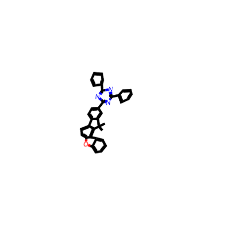 CC1(C)c2cc(-c3nc(-c4ccccc4)nc(-c4ccccc4)n3)ccc2-c2ccc3oc4ccccc4c3c21